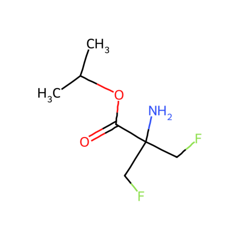 CC(C)OC(=O)C(N)(CF)CF